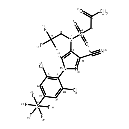 CC(=O)CS(=O)(=O)N(CC(F)(F)F)c1cn(-c2c(Cl)cc(S(F)(F)(F)(F)F)cc2Cl)nc1C#N